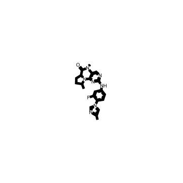 Cc1cn(-c2ccc(Nc3ncc4c(n3)N3C(C)CCC3C(=O)N4C)cc2F)cn1